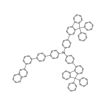 c1ccc(C2(c3ccccc3)c3ccccc3-c3ccc(-c4ccc(N(c5ccc(-c6ccc(-c7cccc(-c8ccc9ccccc9c8)c7)cc6)cc5)c5ccc(-c6cccc7c6-c6ccccc6C7(c6ccccc6)c6ccccc6)cc5)cc4)cc32)cc1